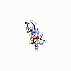 CC(C)(C)OC(=O)N1CC2CCC(C1)N2c1nc2c(s1)CNCC2(C)C